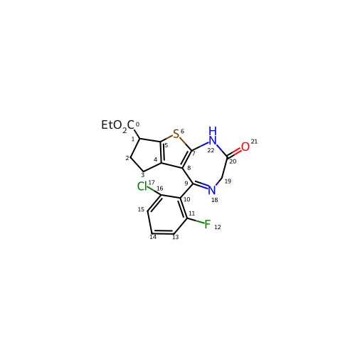 CCOC(=O)C1CCc2c1sc1c2C(c2c(F)cccc2Cl)=NCC(=O)N1